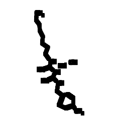 CCCCCCCCNC(=N)NC(=N)NCc1ccc(C)cc1.Cl.Cl